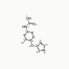 Cc1cc(NC(=O)O)ccc1Oc1ncns1